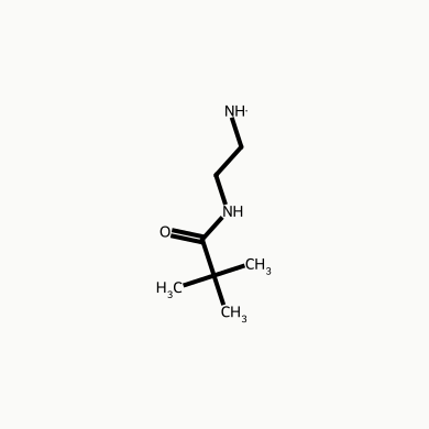 CC(C)(C)C(=O)NCC[NH]